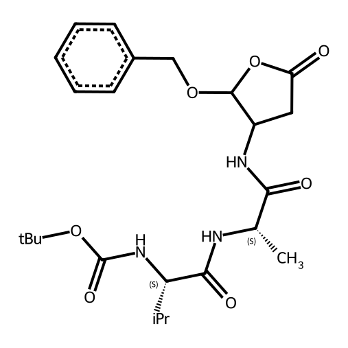 CC(C)[C@H](NC(=O)OC(C)(C)C)C(=O)N[C@@H](C)C(=O)NC1CC(=O)OC1OCc1ccccc1